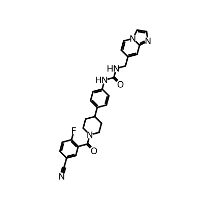 N#Cc1ccc(F)c(C(=O)N2CCC(c3ccc(NC(=O)NCc4ccn5ccnc5c4)cc3)CC2)c1